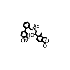 CC(=O)N(Cc1ccccc1-c1ccc(C#N)c(F)c1)CC(O)c1ccc2c(c1C)COC2=O